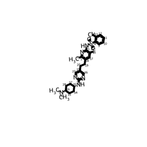 Cc1nc(NS(=O)(=O)c2ccccc2Cl)c(F)cc1CCc1cnc(N[C@H]2CC[C@H](N(C)C)CC2)nc1